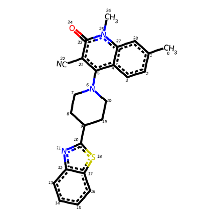 Cc1ccc2c(N3CCC(c4nc5ccccc5s4)CC3)c(C#N)c(=O)n(C)c2c1